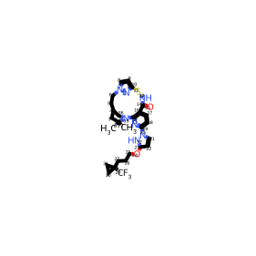 CC1(C)CC2CCn3ccc(n3)SNC(=O)c3ccc(N4C=CC(OCCCC5(C(F)(F)F)CC5)N4)nc3N1C2